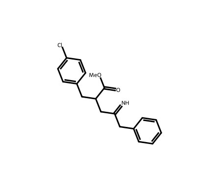 COC(=O)C(CC(=N)Cc1ccccc1)Cc1ccc(Cl)cc1